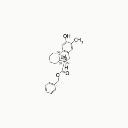 Cc1cc2c(cc1O)[C@]13CCCC[C@@H]1[C@H](C2)N(C(=O)OCc1ccccc1)CC3